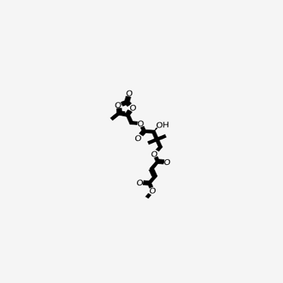 COC(=O)/C=C/C(=O)OCC(C)(C)[C@@H](O)C(=O)OCc1oc(=O)oc1C